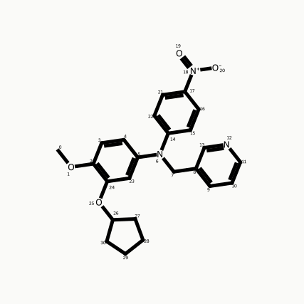 COc1ccc(N(Cc2cccnc2)c2ccc([N+](=O)[O-])cc2)cc1OC1CCCC1